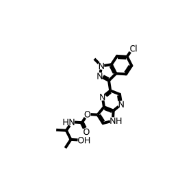 CC(O)C(C)NC(=O)Oc1c[nH]c2ncc(-c3nn(C)c4cc(Cl)ccc34)nc12